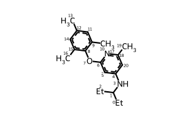 CCC(CC)Nc1[c]c(Oc2c(C)cc(C)cc2C)nc(C)c1